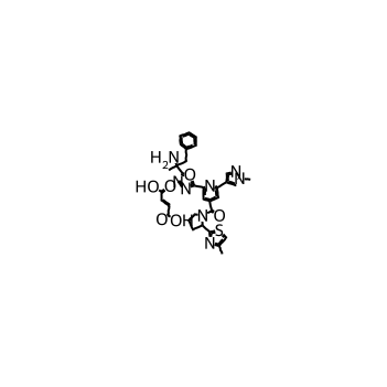 Cc1csc(C2CCCN2C(=O)c2cc(-c3cnn(C)c3)nc(-c3nnc(C(C)(N)Cc4ccccc4)o3)c2)n1.O=C(O)C=CC(=O)O